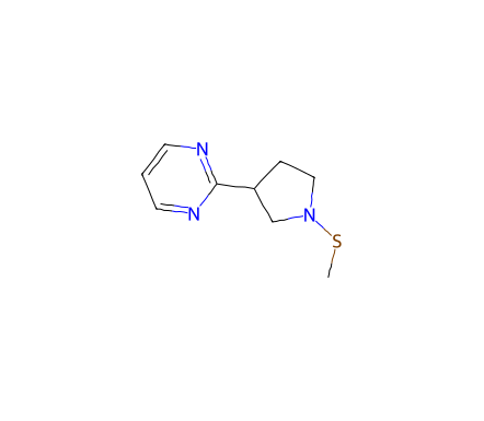 CSN1CCC(c2ncccn2)C1